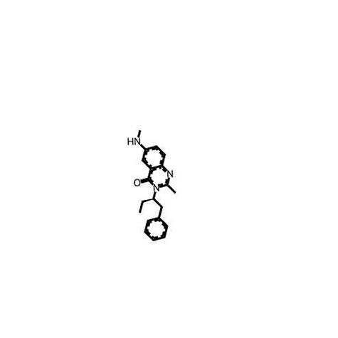 CC[C@H](Cc1ccccc1)n1c(C)nc2ccc(NC)cc2c1=O